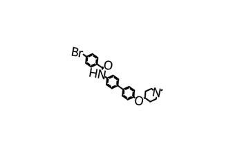 CN1CCC(Oc2ccc(-c3ccc(NC(=O)c4ccc(Br)cc4)cc3)cc2)CC1